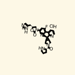 Cl.N#CC1(c2ncccc2-c2ccc(N3C[C@@H](Cc4cnn[nH]4)OC3=O)cc2F)C2CN(C(=O)[C@@H]3CCCN3)CC21